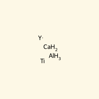 [AlH3].[CaH2].[Ti].[Y]